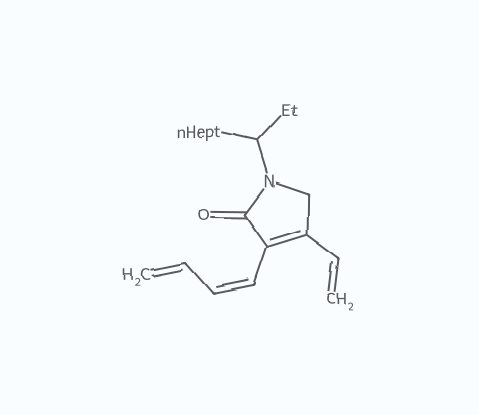 C=C/C=C\C1=C(C=C)CN(C(CC)CCCCCCC)C1=O